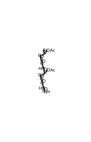 CCCOC(=O)NCCCOC(=O)COCC(=O)OCCN(CCOC(C)=O)CC(=O)NCCCOC(=O)COCC(=O)OCCN(CCOC(C)=O)CC(C)=O